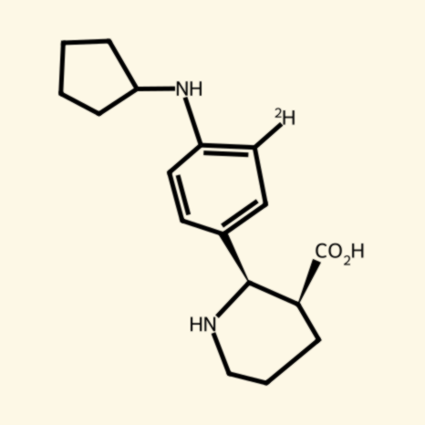 [2H]c1cc([C@@H]2NCCC[C@@H]2C(=O)O)ccc1NC1CCCC1